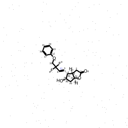 O=C1C[C@@H]2[C@@H](/C=C/C(F)(F)COc3ccccc3)[C@H](O)C[C@@H]2O1